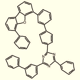 c1ccc(-c2cccc(-c3nc(-c4ccccc4)nc(-c4ccc(-c5cccc(-c6cccc7c6oc6c(-c8ccccc8)cccc67)c5)cc4)n3)c2)cc1